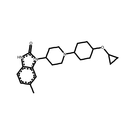 Cc1ccc2[nH]c(=O)n(C3CCN(C4CCC(OC5CC5)CC4)CC3)c2c1